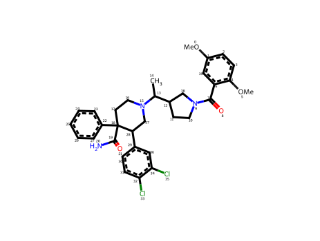 COc1ccc(OC)c(C(=O)N2CCC(C(C)N3CCC(C(N)=O)(c4ccccc4)C(c4ccc(Cl)c(Cl)c4)C3)C2)c1